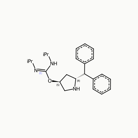 CC(C)/N=C(\NC(C)C)O[C@@H]1CN[C@@H](C(c2ccccc2)c2ccccc2)C1